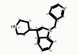 c1cncc(Cn2cc(C3CCNCC3)c3ccccc32)c1